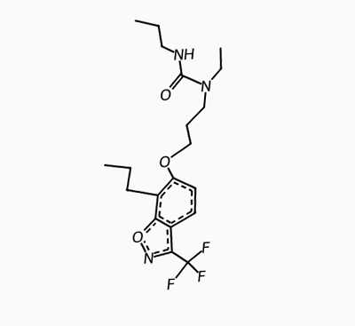 CCCNC(=O)N(CC)CCCOc1ccc2c(C(F)(F)F)noc2c1CCC